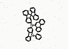 c1ccc(-n2c3ccccc3c3ccc(N(c4ccc5c(c4)C4(c6ccccc6-c6ccccc64)c4ccccc4-5)c4cc5ccccc5c5ccccc45)cc32)cc1